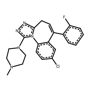 CN1CCN(c2nnc3n2-c2ccc(Cl)cc2C(c2ccccc2F)=CC3)CC1